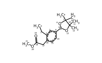 CCc1cc(B2OC(C)(C)C(C)(C)O2)ccc1CC(=O)OC